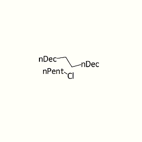 CCCCCCCCCCCCCCCCCCCCCC.CCCCCCl